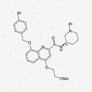 COCCOc1cc(C(=O)N[C@@H]2CCCN(C(C)C)C2)nc2c(OCc3ccc(C(C)C)cc3)cccc12